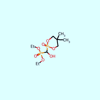 CCOP(=O)(OCC)C(O)P1(=O)OCC(C)(C)CO1